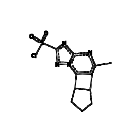 Cc1nc2nc(S(=O)(=O)Cl)nn2c2c1C1CCCC21